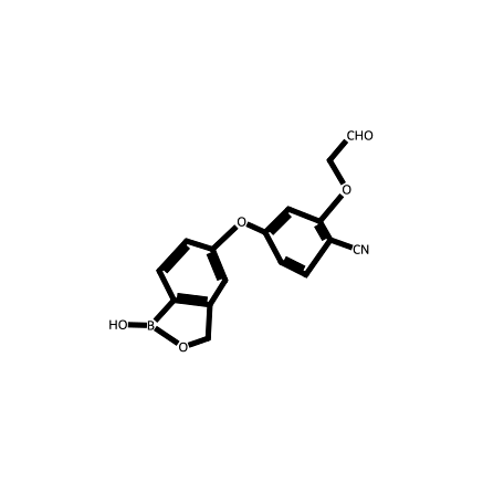 N#Cc1ccc(Oc2ccc3c(c2)COB3O)cc1OCC=O